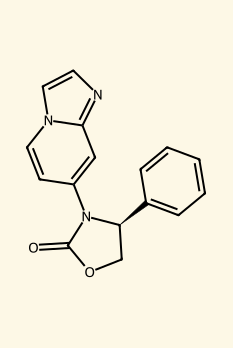 O=C1OC[C@H](c2ccccc2)N1c1ccn2ccnc2c1